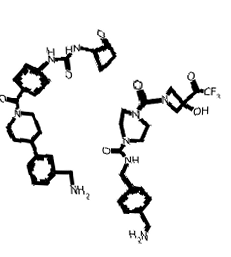 NCc1ccc(CNC(=O)N2CCN(C(=O)N3CC(O)(C(=O)C(F)(F)F)C3)CC2)cc1.NCc1cccc(C2CCN(C(=O)c3ccc(NC(=O)NC4CCC4=O)cc3)CC2)c1